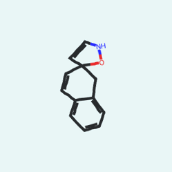 C1=CC2(C=Cc3ccccc3C2)ON1